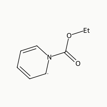 CCOC(=O)N1[CH]C=CC=C1